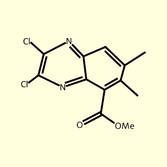 COC(=O)c1c(C)c(C)cc2nc(Cl)c(Cl)nc12